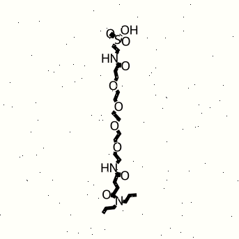 CCCN(CCC)C(=O)CCC(=O)NCCOCCOCCOCCOCCC(=O)NCCS(=O)(=O)O